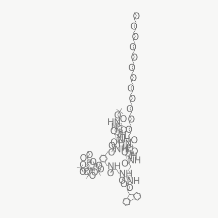 COCCOCCOCCOCCOCCOCCOCCOCCOCCOCCOCCOCCC(=O)N[C@H]1CO[C@H]2[C@@H]1OC[C@@H]2NC(=O)CCC[C@H](NC(=O)OCC1c2ccccc2-c2ccccc21)C(=O)NCCC(=O)NCc1cc(COC(=O)NCC(=O)N[C@H]2CO[C@H]3[C@@H]2OC[C@@H]3NC(=O)OC(C)(C)C)ccc1O[C@@H]1O[C@H](C(=O)OC)[C@@H](OC(C)=O)[C@H](OC(C)=O)[C@H]1OC(C)=O